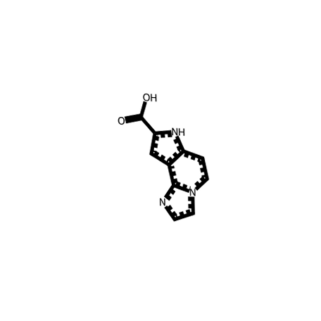 O=C(O)c1cc2c(ccn3ccnc23)[nH]1